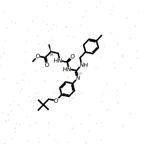 COC(=O)[C@@H](C)CNC(=O)N/C(=N\c1ccc(OCC(C)(C)C)cc1)NCC1C=CC(C)=CC1